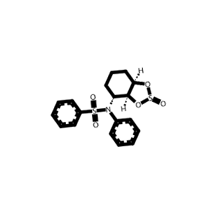 O=S1O[C@H]2[C@H](N(c3ccccc3)S(=O)(=O)c3ccccc3)CCC[C@H]2O1